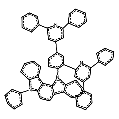 c1ccc(-c2cc(-c3ccccc3)nc(-c3cc(-c4cc(-c5ccccc5)nc(-c5ccccc5)c4)ccc3-n3c4ccccc4c4ccc5c(c6ccccc6n5-c5ccccc5)c43)c2)cc1